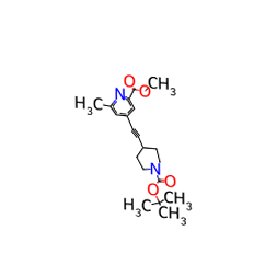 COC(=O)c1cc(C#CC2CCN(C(=O)OC(C)(C)C)CC2)cc(C)n1